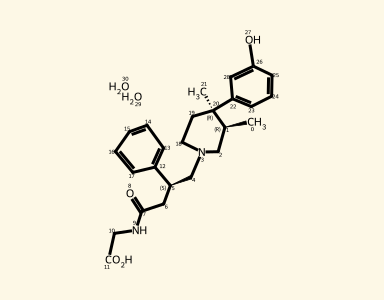 C[C@H]1CN(C[C@@H](CC(=O)NCC(=O)O)c2ccccc2)CC[C@@]1(C)c1cccc(O)c1.O.O